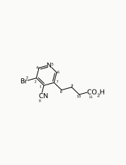 N#Cc1c(Br)cncc1CCCC(=O)O